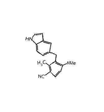 CNc1ccc(C#N)c(C)c1Cc1ccc2[nH]ccc2c1